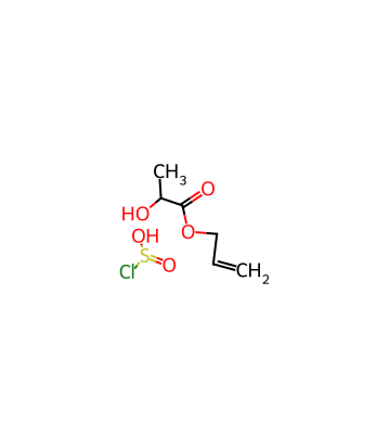 C=CCOC(=O)C(C)O.O=S(O)Cl